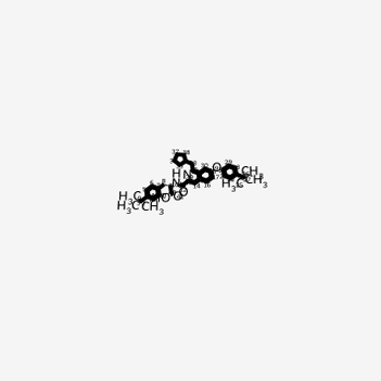 CC(C)(C)c1ccc(C[C@H](NC(=O)c2cc3ccc(Oc4ccc(C(C)(C)C)cc4)cc3c(CC3CCCC3)n2)C(=O)O)cc1